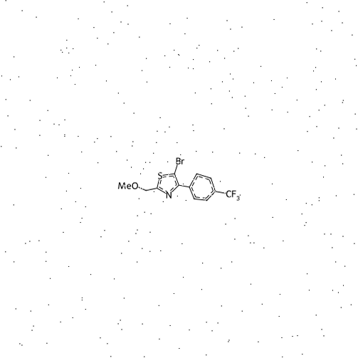 COCc1nc(-c2ccc(C(F)(F)F)cc2)c(Br)s1